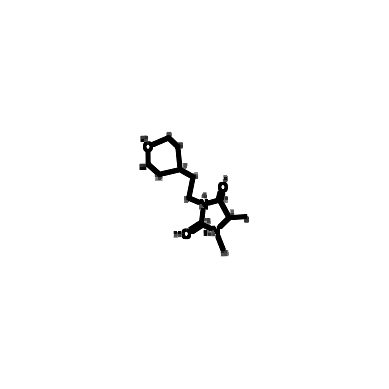 CC1C(=O)N(CCC2CCOCC2)C(=O)N1C